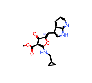 COC(=O)C1=C(NCC2CC2)O/C(=C\c2c[nH]c3ncccc23)C1=O